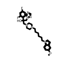 COc1ccc2c(ccn2CCCCCCN2CCN(CC(O)(Cn3cncn3)c3ccc(F)cc3F)CC2)c1